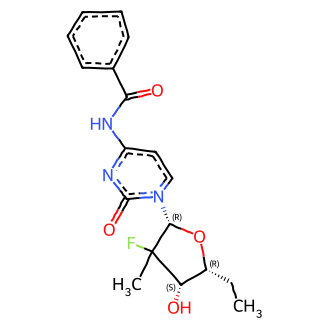 CC[C@H]1O[C@@H](n2ccc(NC(=O)c3ccccc3)nc2=O)C(C)(F)[C@H]1O